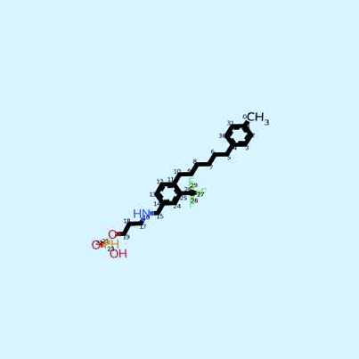 Cc1ccc(CCCCCCc2ccc(CNCCCO[PH](=O)O)cc2C(F)(F)F)cc1